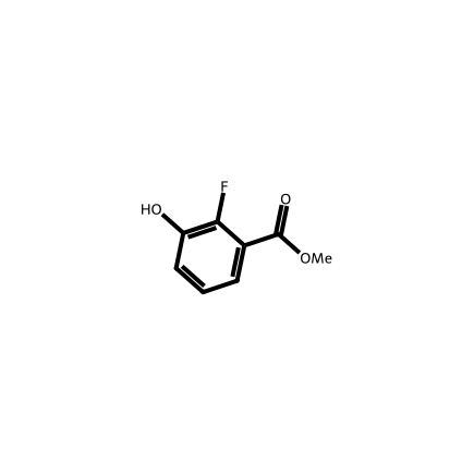 COC(=O)c1cccc(O)c1F